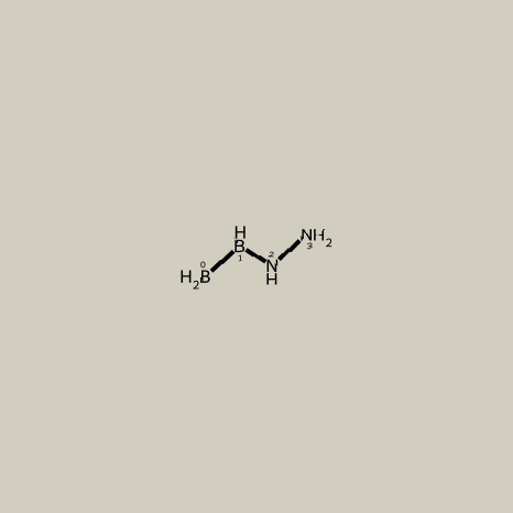 BBNN